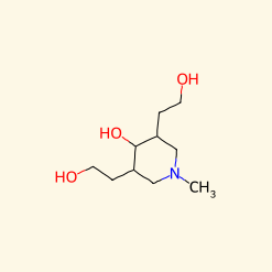 CN1CC(CCO)C(O)C(CCO)C1